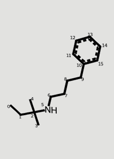 CCC(C)(C)NCCCCc1ccccc1